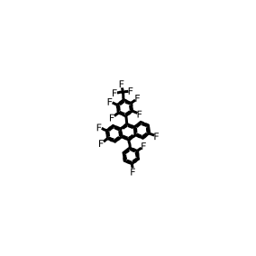 Fc1ccc(-c2c3cc(F)ccc3c(-c3c(F)c(F)c(C(F)(F)F)c(F)c3F)c3cc(F)c(F)cc23)c(F)c1